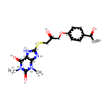 CC(C)COC(=O)c1ccc(OCC(=O)CSc2nc3c([nH]2)c(=O)n(C)c(=O)n3C)cc1